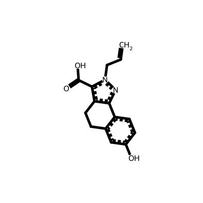 C=CCn1nc2c(c1C(=O)O)CCc1cc(O)ccc1-2